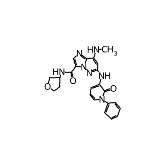 CNc1cc(Nc2cccn(-c3ccccc3)c2=O)nn2c(C(=O)NC3CCOC3)cnc12